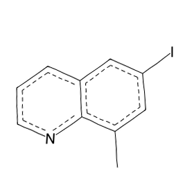 Cc1cc(I)cc2cccnc12